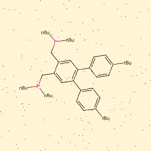 CCCCP(CCCC)Cc1cc(-c2ccc(C(C)(C)C)cc2)c(-c2ccc(C(C)(C)C)cc2)cc1CP(CCCC)CCCC